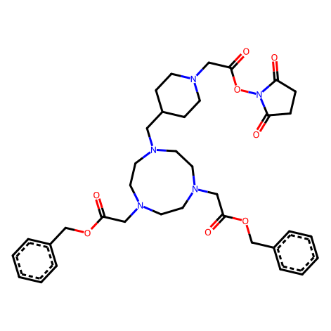 O=C(CN1CCN(CC(=O)OCc2ccccc2)CCN(CC2CCN(CC(=O)ON3C(=O)CCC3=O)CC2)CC1)OCc1ccccc1